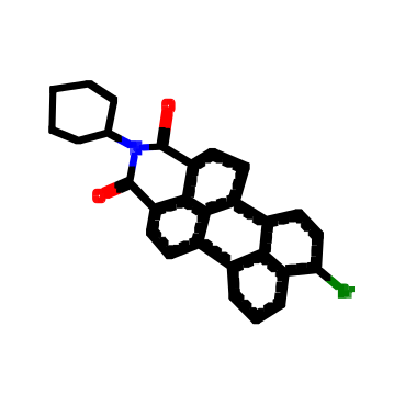 O=C1c2ccc3c4cccc5c(Br)ccc(c6ccc(c2c36)C(=O)N1C1CCCCC1)c54